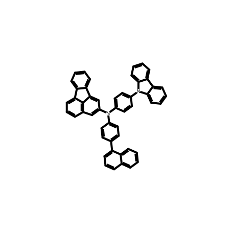 c1ccc2c(c1)-c1cccc3cc(N(c4ccc(-c5cccc6ccccc56)cc4)c4ccc(-n5c6ccccc6c6ccccc65)cc4)cc-2c13